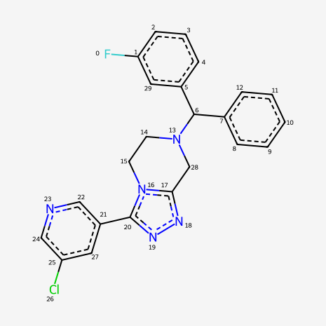 Fc1cccc(C(c2ccccc2)N2CCn3c(nnc3-c3cncc(Cl)c3)C2)c1